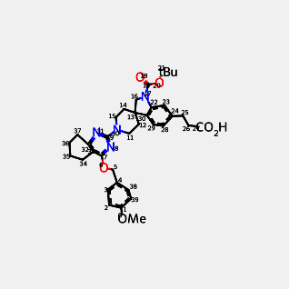 COc1ccc(COc2nc(N3CCC4(CC3)CN(C(=O)OC(C)(C)C)c3cc(CCC(=O)O)ccc34)nc3c2CCCC3)cc1